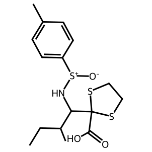 CCC(C)C(N[S+]([O-])c1ccc(C)cc1)C1(C(=O)O)SCCS1